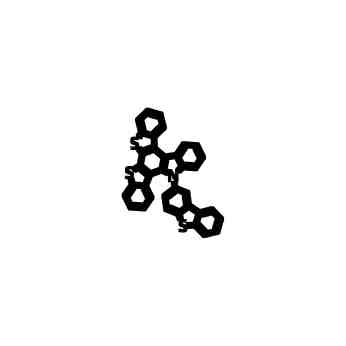 c1ccc2c(c1)sc1ccc(-n3c4ccccc4c4c5c6ccccc6sc5c5sc6ccccc6c5c43)cc12